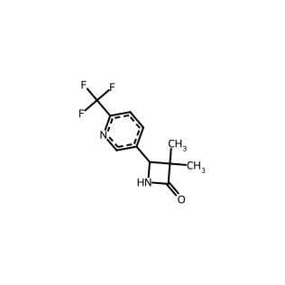 CC1(C)C(=O)NC1c1ccc(C(F)(F)F)nc1